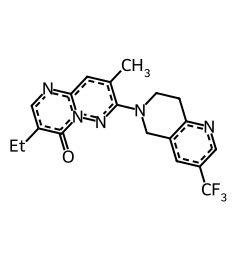 CCc1cnc2cc(C)c(N3CCc4ncc(C(F)(F)F)cc4C3)nn2c1=O